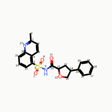 Cc1ccc2c(S(=O)(=O)NC(=O)C3CC(c4ccccc4)CO3)cccc2n1